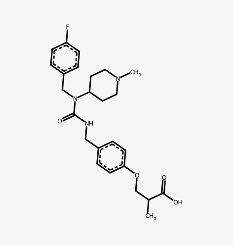 CC(COc1ccc(CNC(=O)N(Cc2ccc(F)cc2)C2CCN(C)CC2)cc1)C(=O)O